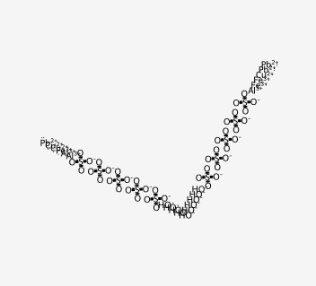 O=S(=O)([O-])[O-].O=S(=O)([O-])[O-].O=S(=O)([O-])[O-].O=S(=O)([O-])[O-].O=S(=O)([O-])[O-].O=S(=O)([O-])[O-].O=S(=O)([O-])[O-].O=S(=O)([O-])[O-].O=S(=O)([O-])[O-].O=S(=O)([O-])[O-].[Al+3].[Al+3].[Al+3].[Cu+2].[Cu+2].[Cu+2].[Fe+3].[Fe+3].[Fe+3].[OH-].[OH-].[OH-].[OH-].[OH-].[OH-].[OH-].[OH-].[OH-].[OH-].[Pb+2].[Pb+2].[Pb+2]